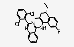 CC[C@H]1CC(C)=C(Nc2nc(-c3c(Cl)cccc3Cl)nc3ccccc23)c2cc(F)ccc21